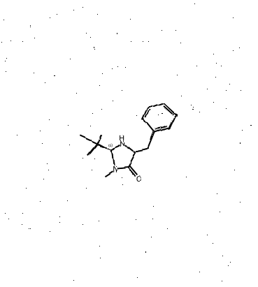 CN1C(=O)C(Cc2ccccc2)N[C@@H]1C(C)(C)C